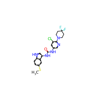 CSc1ccc2[nH]cc(NC(=O)Nc3cnc(N4CCC(F)(F)CC4)c(Cl)c3)c2c1